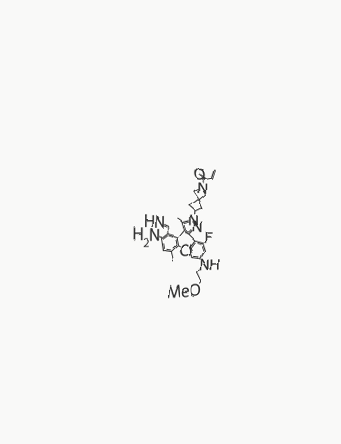 C=CC(=O)N1CC2(CC(n3nc(-c4ccc(NCCOC)cc4F)c(-c4c(Cl)c(C)cc(N)c4C=N)c3C)C2)C1